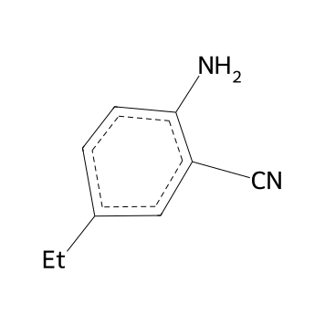 CCc1ccc(N)c(C#N)c1